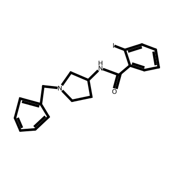 O=C(NC1CCN(Cc2ccccc2)C1)c1ccccc1I